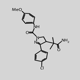 COc1ccc(NC(=O)N2CC(C(C)(C)C(N)=O)C(c3ccc(Cl)cc3)=N2)cc1